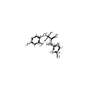 CC(C)(Oc1ccc(F)cc1F)C(=O)Nc1ncc(Cl)s1